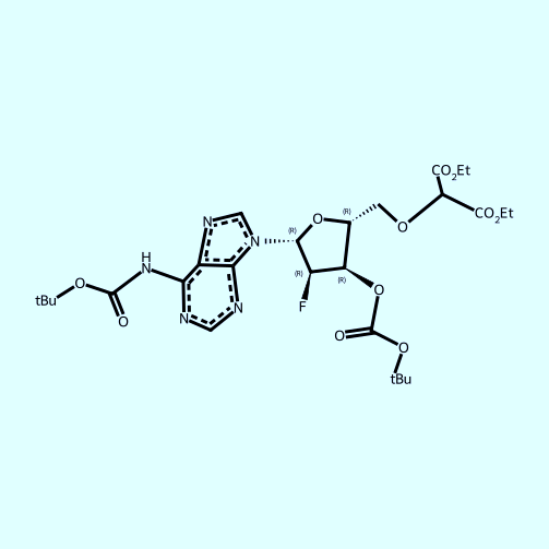 CCOC(=O)C(OC[C@H]1O[C@@H](n2cnc3c(NC(=O)OC(C)(C)C)ncnc32)[C@H](F)[C@@H]1OC(=O)OC(C)(C)C)C(=O)OCC